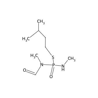 CNP(=O)(SCCC(C)C)N(C)C=O